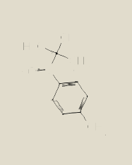 [CH2]c1ccc([S+]([O-])C(C)(C)C)cc1